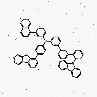 c1cc(-c2cccc(N(c3ccc(-c4cccc5c4oc4ccccc45)cc3)c3cccc(-c4cccc5ccccc45)c3)c2)cc(-c2ccccc2-n2c3ccccc3c3ccccc32)c1